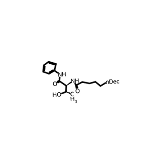 CCCCCCCCCCCCCCC(=O)N[C@H](C(=O)Nc1ccccc1)[C@@H](C)O